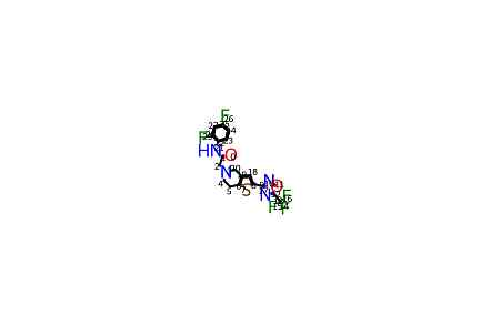 O=C(CN1CCc2sc(-c3noc(C(F)(F)F)n3)cc2C1)Nc1ccc(F)cc1F